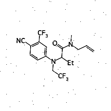 C=CCN(C)C(=O)C(CC)N(CC(F)(F)F)c1ccc(C#N)c(C(F)(F)F)c1